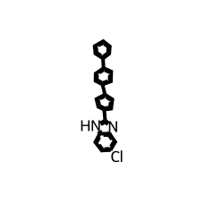 Clc1ccc2[nH]c(-c3ccc(-c4ccc(-c5ccccc5)cc4)cc3)nc2c1